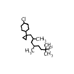 CC(C[C@H](C)CCC(C)(C)F)CC1(C2CCC(Cl)CC2)CC1